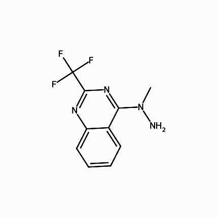 CN(N)c1nc(C(F)(F)F)nc2ccccc12